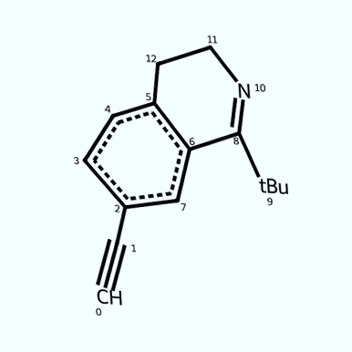 C#Cc1ccc2c(c1)C(C(C)(C)C)=NCC2